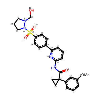 COc1cccc(C2(C(=O)Nc3cccc(-c4ccc(S(=O)(=O)N5CCCN5CO)cc4)n3)CC2)c1